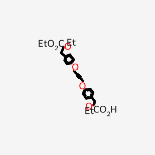 CCOC(=O)C(Cc1ccc(OCC#CCOc2ccc(CC(OCC)C(=O)O)cc2)cc1)OCC